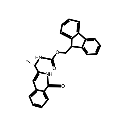 C[C@H](NC(=O)OCC1c2ccccc2-c2ccccc21)c1cc2ccccc2c(=O)[nH]1